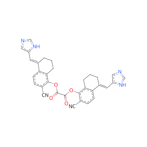 N#Cc1ccc2c(c1OC(=O)C(=O)Oc1c(C#N)ccc3c1CCCC3=Cc1cnc[nH]1)CCCC2=Cc1cnc[nH]1